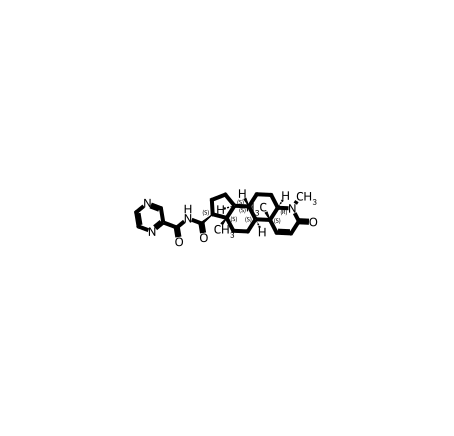 CN1C(=O)C=C[C@]2(C)[C@H]3CC[C@]4(C)[C@@H](C(=O)NC(=O)c5cnccn5)CC[C@H]4[C@@H]3CC[C@@H]12